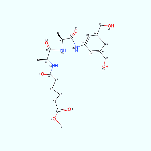 COC(=O)CCCCC(=O)N[C@@H](C)C(=O)N[C@@H](C)C(=O)NC1=CC(CO)CC(CO)=C1